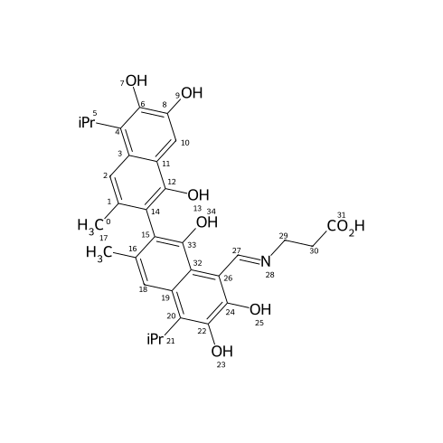 Cc1cc2c(C(C)C)c(O)c(O)cc2c(O)c1-c1c(C)cc2c(C(C)C)c(O)c(O)c(/C=N/CCC(=O)O)c2c1O